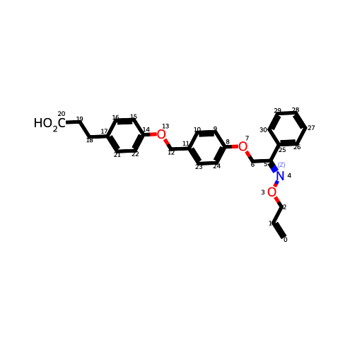 C=CCO/N=C(\COc1ccc(COc2ccc(CCC(=O)O)cc2)cc1)c1ccccc1